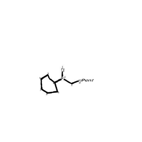 CCCCCCP(Cl)C1CCCCC1